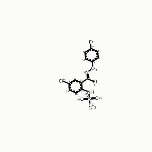 CC/C(=N\Oc1ccc(F)cc1)c1cc(Cl)ccc1NS(=O)(=O)C(F)(F)F